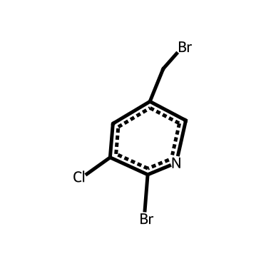 Clc1cc(CBr)cnc1Br